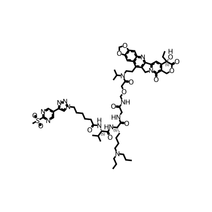 CCCN(CCC)CCCC[C@H](NC(=O)[C@@H](NC(=O)CCCCCn1cc(-c2cnc(S(C)(=O)=O)nc2)nn1)C(C)C)C(=O)NCC(=O)NCOCC(=O)N(CCc1c2c(nc3cc4c(cc13)OCO4)-c1cc3c(c(=O)n1C2)COC(=O)[C@]3(O)CC)C(C)C